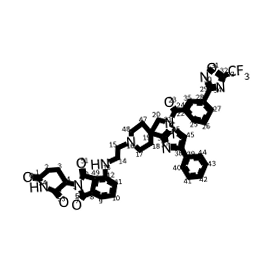 O=C1CCC(N2C(=O)c3cccc(NCCN4CCC(CNC(=O)c5cccc(-c6noc(C(F)(F)F)n6)c5)(c5nc(-c6ccccc6)cs5)CC4)c3C2=O)C(=O)N1